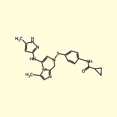 CC1=CN=C2CN(Sc3ccc(NC(=O)C4CC4)cc3)C=C(Nc3cc(C)[nH]n3)[N+]12